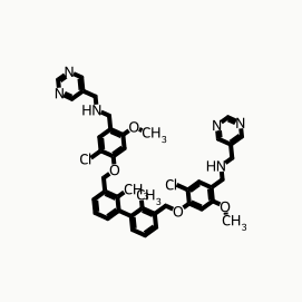 COc1cc(OCc2cccc(-c3cccc(COc4cc(OC)c(CNCc5cncnc5)cc4Cl)c3C)c2C)c(Cl)cc1CNCc1cncnc1